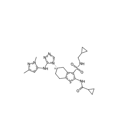 Cc1cc(Nc2nncn2[C@H]2CCc3sc(NC(=O)C4CC4)c(S(=O)(=O)NCC4CC4)c3C2)n(C)n1